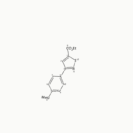 CCOC(=O)c1cc(-c2ccc(OC)cc2)ns1